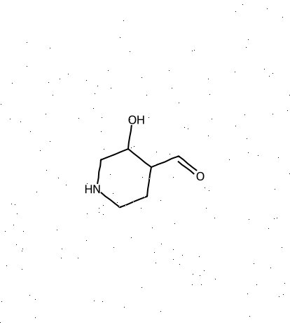 O=CC1CCNCC1O